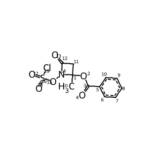 CC1(OC(=O)c2ccccc2)CC(=O)N1OS(=O)(=O)Cl